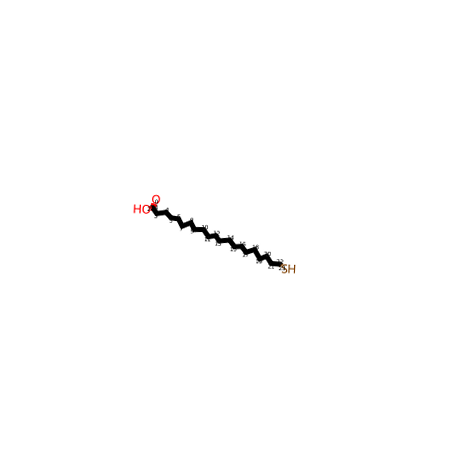 O=C(O)CCCCCCCCCCCCCCCCCCCCS